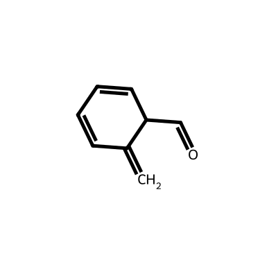 C=C1C=CC=CC1C=O